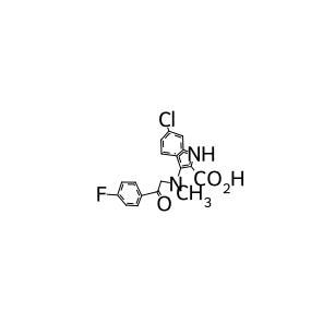 CN(CC(=O)c1ccc(F)cc1)c1c(C(=O)O)[nH]c2cc(Cl)ccc12